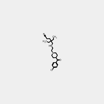 CCC(CC)(CCC#N)CNCCN1CCC(C(=O)c2ccc(Cl)cc2)CC1